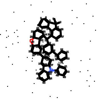 CC1(C)c2ccccc2-c2c(C(c3cccc(-c4ccccc4)c3)c3cccc4oc5ccc(-c6ccc7c(c6)c6ccccc6n7-c6ccccc6)cc5c34)cccc21